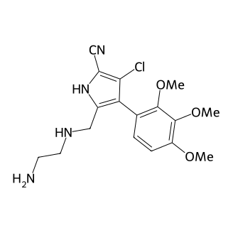 COc1ccc(-c2c(CNCCN)[nH]c(C#N)c2Cl)c(OC)c1OC